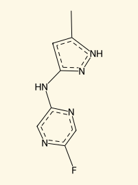 Cc1cc(Nc2cnc(F)cn2)n[nH]1